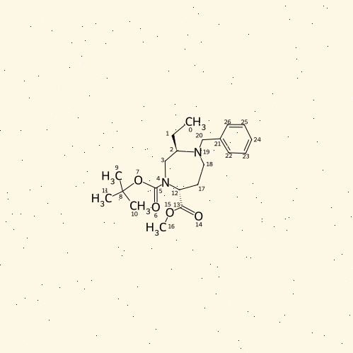 CC[C@@H]1CN(C(=O)OC(C)(C)C)[C@@H](C(=O)OC)CCN1Cc1ccccc1